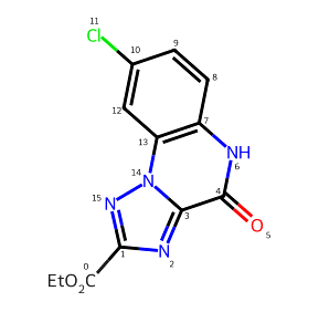 CCOC(=O)c1nc2c(=O)[nH]c3ccc(Cl)cc3n2n1